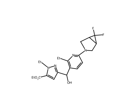 CCOC(=O)c1cc(C(O)c2ccc(N3CC4C(C3)C4(F)F)nc2CC)nn1CC